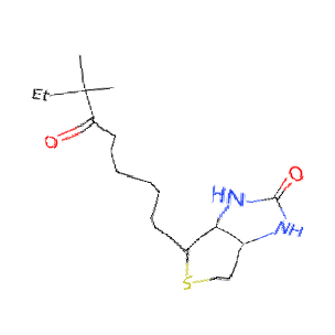 CCC(C)(C)C(=O)CCCCC1SCC2NC(=O)NC21